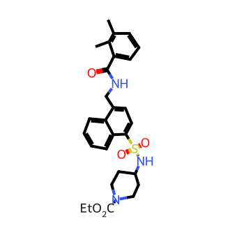 CCOC(=O)N1CCC(NS(=O)(=O)c2ccc(CNC(=O)c3cccc(C)c3C)c3ccccc23)CC1